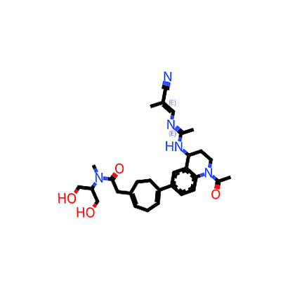 CC(=O)N1CCC(N/C(C)=N/C=C(\C)C#N)c2cc(C3=CCC=C(CC(=O)N(C)C(CO)CO)CC3)ccc21